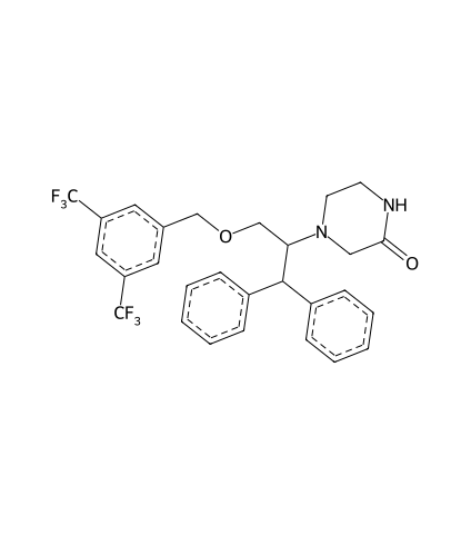 O=C1CN(C(COCc2cc(C(F)(F)F)cc(C(F)(F)F)c2)C(c2ccccc2)c2ccccc2)CCN1